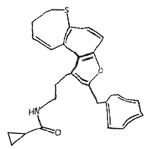 O=C(NCCc1c(Cc2ccccc2)oc2ccc3c(c12)C=CCCS3)C1CC1